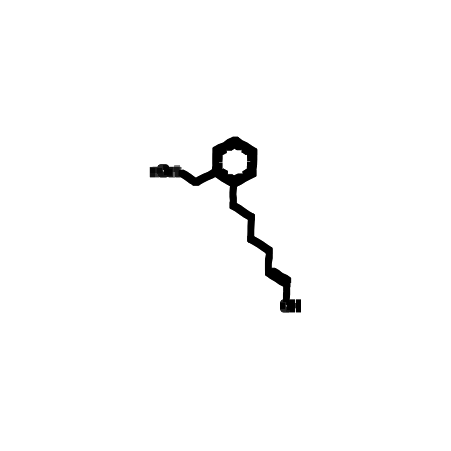 CCCCCCCCCc1ccccc1CCCCC=CO